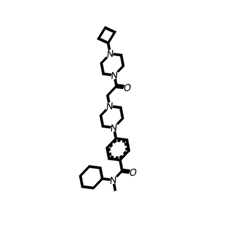 CN(C(=O)c1ccc(N2CCN(CC(=O)N3CCN(C4CCC4)CC3)CC2)cc1)C1CCCCC1